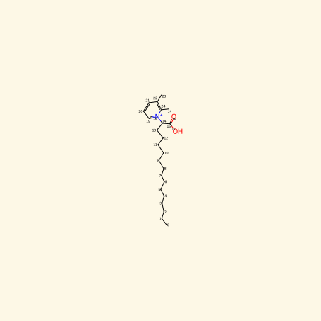 CCCCCCCCCCCCCCC(C(=O)O)[n+]1cccc(C)c1C